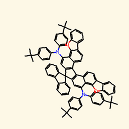 CC(C)(C)c1ccc(N(c2ccc(C(C)(C)C)cc2)c2cc3c(c4ccc5c6ccccc6oc5c24)-c2c(cc(N(c4ccc(C(C)(C)C)cc4)c4ccc(C(C)(C)C)cc4)c4c2ccc2c5ccccc5oc24)C32c3ccccc3-c3ccccc32)cc1